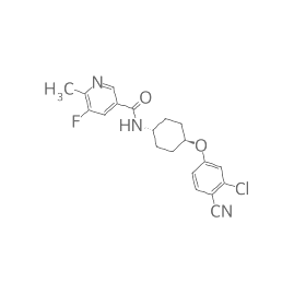 Cc1ncc(C(=O)N[C@H]2CC[C@H](Oc3ccc(C#N)c(Cl)c3)CC2)cc1F